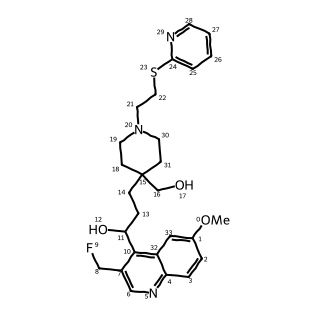 COc1ccc2ncc(CF)c(C(O)CCC3(CO)CCN(CCSc4ccccn4)CC3)c2c1